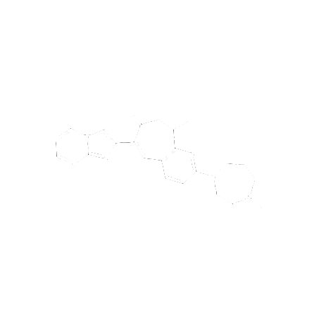 CC1CC(=O)C(c2cn3cccnc3n2)=Cc2ccc(N3CCCN(C)CC3)nc21